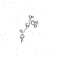 O=C(CCCN1CCC2(CC(O)c3cc4c(cc32)OCO4)C1)c1ccc(F)cc1